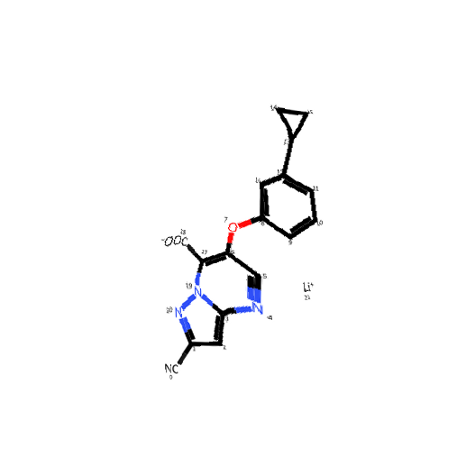 N#Cc1cc2ncc(Oc3cccc(C4CC4)c3)c(C(=O)[O-])n2n1.[Li+]